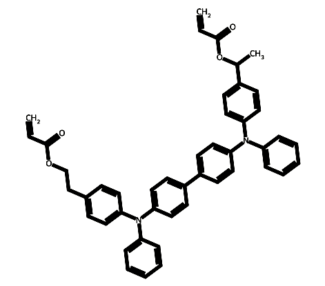 C=CC(=O)OCCc1ccc(N(c2ccccc2)c2ccc(-c3ccc(N(c4ccccc4)c4ccc(C(C)OC(=O)C=C)cc4)cc3)cc2)cc1